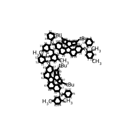 Cc1ccc(N(c2ccccc2)c2ccc3c4c(ccc3c2)-c2ccc3cc(N(c5ccccc5)c5ccc(C)cc5Cc5cc(C)cc(N(c6ccccc6)c6ccc7c8c(ccc7c6)-c6ccc7cc(N(c9ccccc9)c9cc(C)ccc9C)ccc7c6C86c7ccc(C(C)(C)C)cc7-c7cc(C(C)(C)C)ccc76)c5C)ccc3c2C42c3ccc(C(C)(C)C)cc3-c3cc(C(C)(C)C)ccc32)c(C)c1